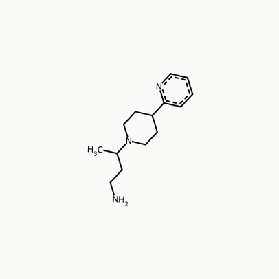 CC(CCN)N1CCC(c2ccccn2)CC1